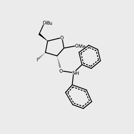 COC1O[C@H](COCC(C)C)[C@@H](I)[C@H]1O[SiH](c1ccccc1)c1ccccc1